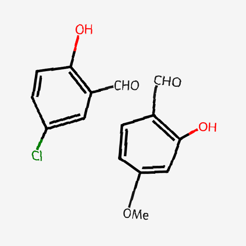 COc1ccc(C=O)c(O)c1.O=Cc1cc(Cl)ccc1O